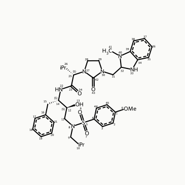 COc1ccc(S(=O)(=O)N(CC(C)C)C[C@H](O)[C@H](Cc2ccccc2)NC(=O)[C@H](C(C)C)N2CCN(CC3Nc4ccccc4N3C)C2=O)cc1